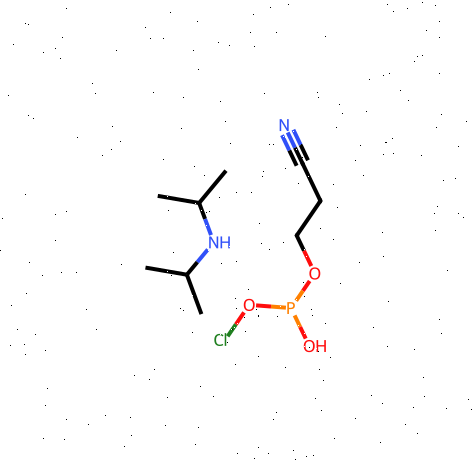 CC(C)NC(C)C.N#CCCOP(O)OCl